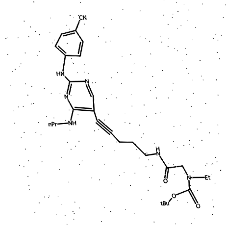 CCCNc1nc(Nc2ccc(C#N)cc2)ncc1C#CCCCNC(=O)CN(CC)C(=O)OC(C)(C)C